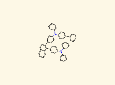 c1ccc(-c2ccc(N(c3ccccc3)c3ccc(-c4ccc5ccccc5c4-c4ccc(N(c5ccccc5)c5ccccc5)cc4)cc3)cc2)cc1